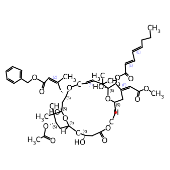 CCC/C=C/C=C/C(=O)OC1/C(=C/C(=O)OC)C[C@H]2CCOC(=O)C[C@H](O)C[C@@H]3C[C@H](OC(C)=O)C(C)(C)[C@](O)(C[C@H](C/C(C)=C\C(=O)OCc4ccccc4)OC/C=C/C(C)(C)[C@]1(O)O2)O3